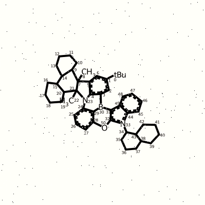 CC(C)(C)c1cc2c3c(c1)C1(C)C4CCCCC4C4CCCCC4C1(C)N3c1cccc3c1B2c1c(n(C2CCCC4CCCCC42)c2ccccc12)O3